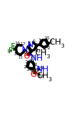 Cc1ccc(-c2cnc(N3CCCC(F)(F)CC3)c(C(=O)Nc3cccc(S(C)(=N)=O)c3)c2C)cc1